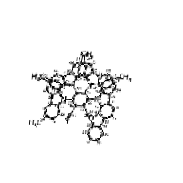 Cc1ccc2c(c1)c1cc(C)ccc1n2-c1c(C#N)c(C#N)c(-n2c3ccccc3c3ccc4c5ccccc5oc4c32)c(-n2c3ccc(C)cc3c3cc(C)ccc32)c1-n1c2ccc(C)cc2c2cc(C)ccc21